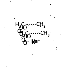 CCCCCCCC(C)OC(=O)CC(=O)[O-].CCCCCCCC(C)OC(=O)CC(=O)[O-].[K+].[Na+]